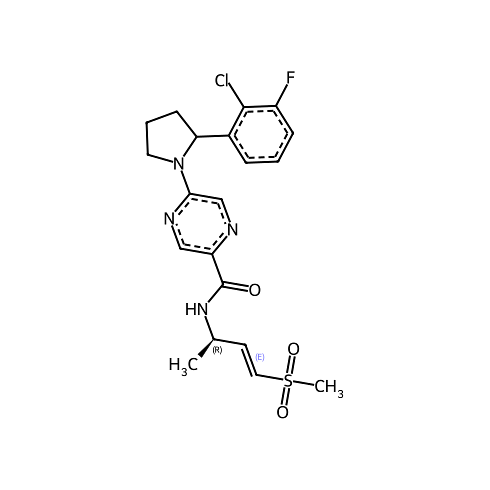 C[C@H](/C=C/S(C)(=O)=O)NC(=O)c1cnc(N2CCCC2c2cccc(F)c2Cl)cn1